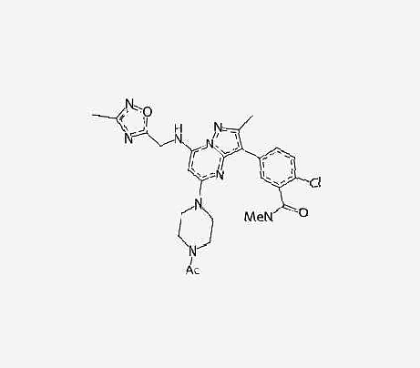 CNC(=O)c1cc(-c2c(C)nn3c(NCc4nc(C)no4)cc(N4CCN(C(C)=O)CC4)nc23)ccc1Cl